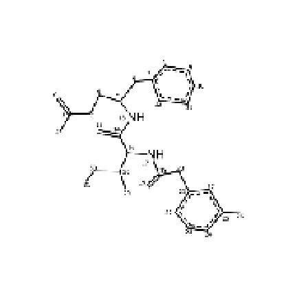 C=C(C)CCC(Cc1ccccc1)NC(=C)C(NC(=C)Cc1cccc(C)c1)C(C)CC